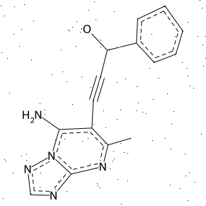 Cc1nc2ncnn2c(N)c1C#CC([O])c1ccccc1